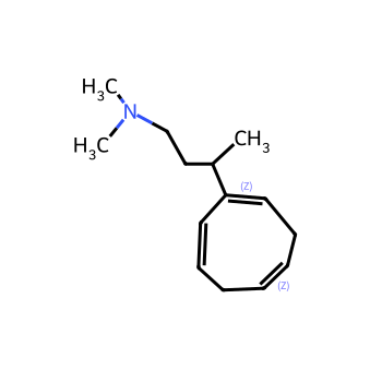 CC(CCN(C)C)/C1=C/C/C=C\CC=C1